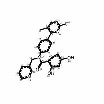 Cc1cnc(Cl)nc1-c1ccc(N(Cc2cccnc2)C(=O)c2ccc(O)cc2O)cc1